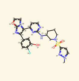 Cn1ccc(S(=O)(=O)N2CCCC(Nc3nccc(-c4c(-c5ccc(F)c(O)c5)nc5occn45)n3)C2)n1